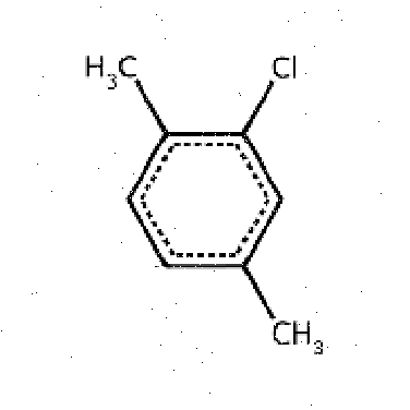 Cc1[c]cc(C)c(Cl)c1